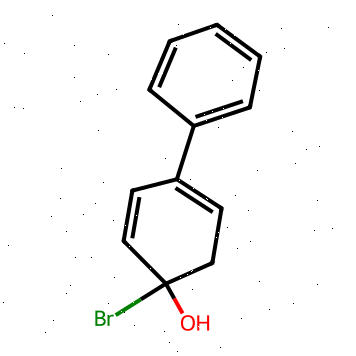 OC1(Br)C=CC(c2ccccc2)=CC1